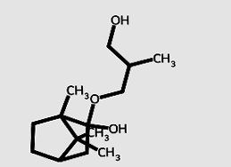 CC(CO)COC1(O)CC2CCC1(C)C2(C)C